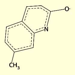 Cc1ccc2ccc([O])nc2c1